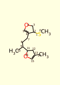 CSC1COC=C1CCC(C)C1CC(C)=CO1